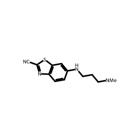 CNCCCNc1ccc2nc(C#N)sc2c1